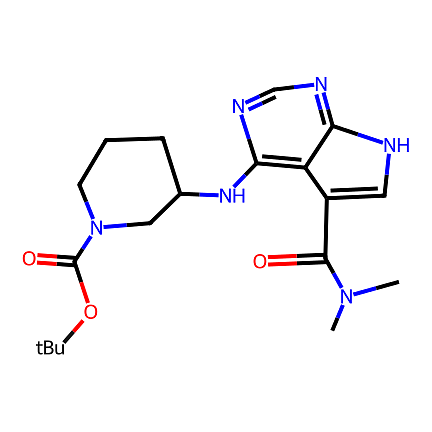 CN(C)C(=O)c1c[nH]c2ncnc(NC3CCCN(C(=O)OC(C)(C)C)C3)c12